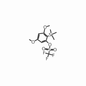 COc1cc(OC)c([Si](C)(C)C)c(OS(=O)(=O)C(F)(F)F)c1